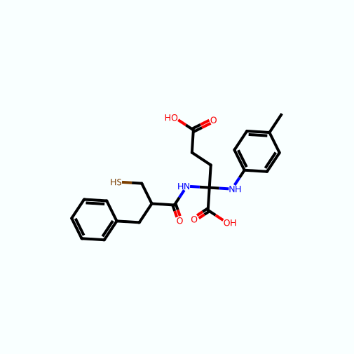 Cc1ccc(NC(CCC(=O)O)(NC(=O)C(CS)Cc2ccccc2)C(=O)O)cc1